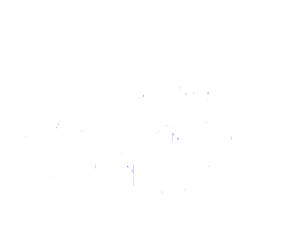 CSCOC(=O)C1=C(C)CS[C@H]2C(NC(=O)Cc3ccccc3)C(=O)N12